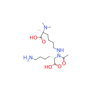 CC(=O)N(NCCCC[C@@](C)(C(=O)O)N(C)C)[C@@H](CCCCN)C(=O)O